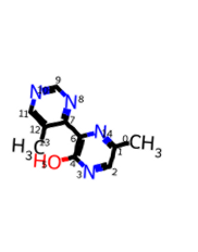 Cc1cnc(O)c(-c2ncncc2C)n1